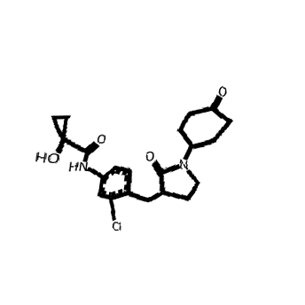 O=C1CCC(N2CCC(Cc3ccc(NC(=O)C4(O)CC4)cc3Cl)C2=O)CC1